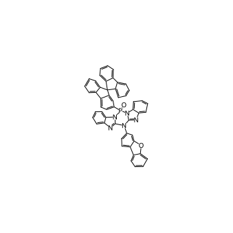 O=P1(c2ccc3c(c2)C2(c4ccccc4-c4ccccc42)c2ccccc2-3)n2c(nc3ccccc32)N(c2ccc3c(c2)oc2ccccc23)c2nc3ccccc3n21